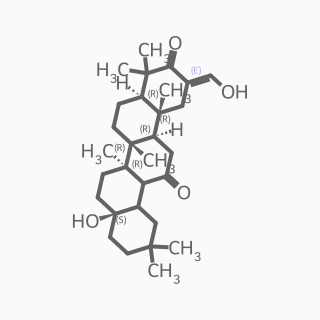 CC1(C)CC[C@]2(O)CC[C@]3(C)C(C(=O)C[C@@H]4[C@@]5(C)C/C(=C\O)C(=O)C(C)(C)[C@@H]5CC[C@]43C)C2C1